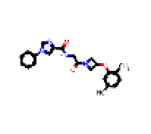 Cc1ccc(C#N)cc1OC1CN(C(=O)CNC(=O)c2cn(-c3ccccc3)cn2)C1